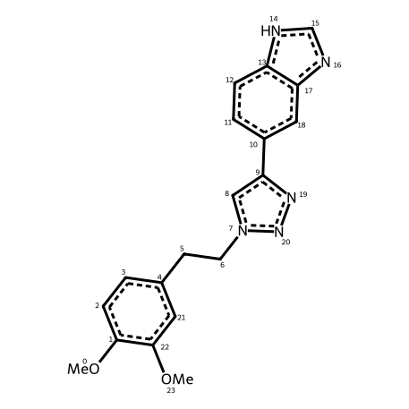 COc1ccc(CCn2cc(-c3ccc4[nH]cnc4c3)nn2)cc1OC